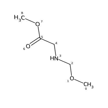 COCNCC(=O)OC